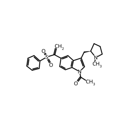 C=C(c1ccc2c(c1)c(C[C@H]1CCCN1C)cn2C(C)=O)S(=O)(=O)c1ccccc1